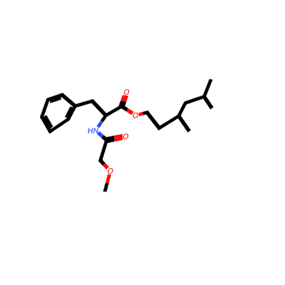 COCC(=O)NC(Cc1ccccc1)C(=O)OCCC(C)CC(C)C